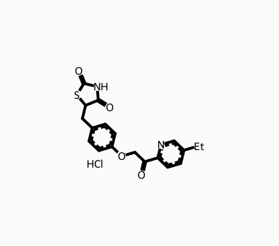 CCc1ccc(C(=O)COc2ccc(CC3SC(=O)NC3=O)cc2)nc1.Cl